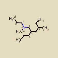 CCCC(CC(C)CC)CN(C)CCC